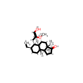 CC[C@@H]1CC[C@@H]2[C@H](CC[C@]3(C)C(=O)CC[C@@H]23)[C@H]1C/C(=C/O)OC